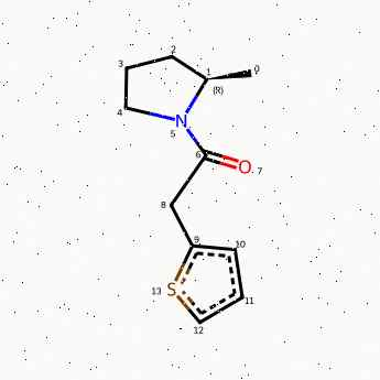 [CH2][C@@H]1CCCN1C(=O)Cc1cccs1